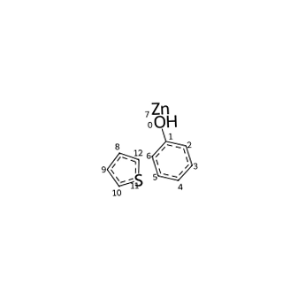 Oc1ccccc1.[Zn].c1ccsc1